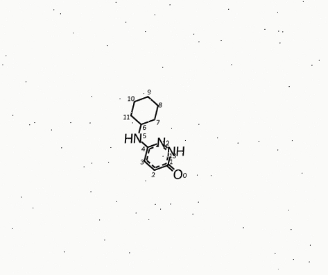 O=c1ccc(NC2CCCCC2)n[nH]1